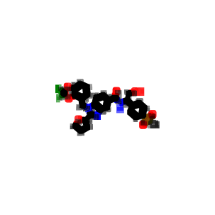 CCS(=O)(=O)c1ccc([C@H](CO)NC(=O)c2ccc3c(c2)nc([C@H]2CCCO2)n3Cc2cccc3c2OC(F)(F)O3)cc1